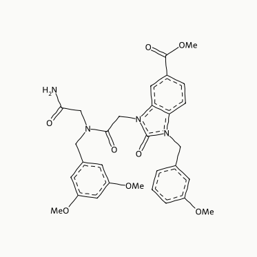 COC(=O)c1ccc2c(c1)n(CC(=O)N(CC(N)=O)Cc1cc(OC)cc(OC)c1)c(=O)n2Cc1cccc(OC)c1